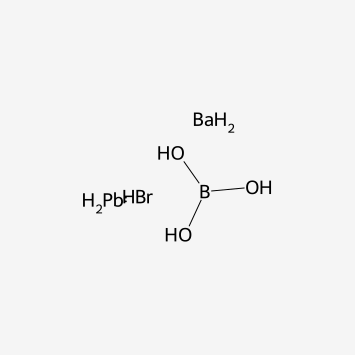 Br.OB(O)O.[BaH2].[PbH2]